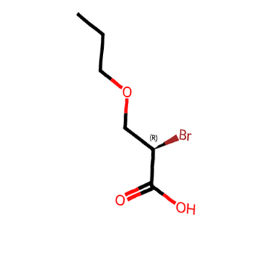 CCCOC[C@@H](Br)C(=O)O